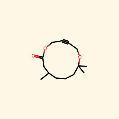 CC1CCCC(C)(C)OCC#CCOC(=O)C1